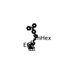 CCCCCCc1cc(-c2ccc(N(c3ccccc3)c3ccccc3)cc2)sc1/C=C/c1ccc([Si](OCC)(OCC)OCC)s1